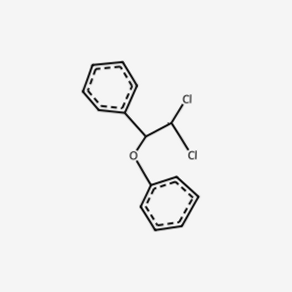 Cl[C](Cl)C(Oc1ccccc1)c1ccccc1